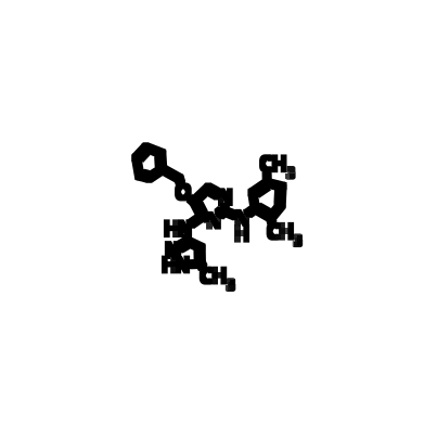 Cc1ccc(C)c(Nc2ncc(OCc3ccccc3)c(Nc3cc(C)[nH]n3)n2)c1